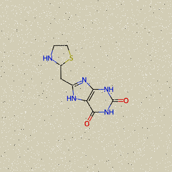 O=c1[nH]c(=O)c2[nH]c(CC3NCCS3)nc2[nH]1